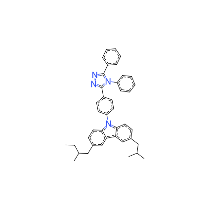 CCC(C)Cc1ccc2c(c1)c1cc(CC(C)C)ccc1n2-c1ccc(-c2nnc(-c3ccccc3)n2-c2ccccc2)cc1